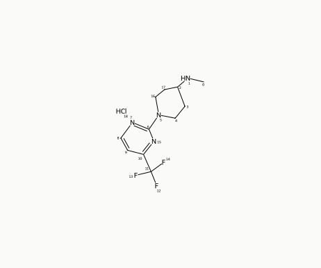 CNC1CCN(c2nccc(C(F)(F)F)n2)CC1.Cl